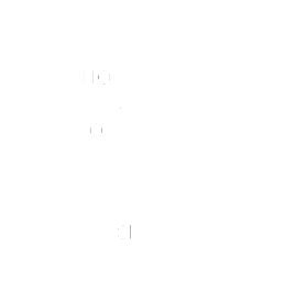 CC(C)C(C(=O)O)c1cccc(Cl)c1